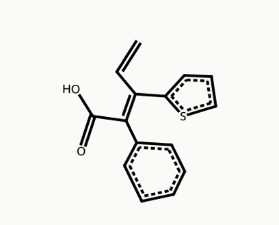 C=CC(=C(C(=O)O)c1ccccc1)c1cccs1